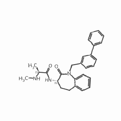 CN[C@@H](C)C(=O)N[C@H]1CCc2ccccc2N(Cc2cccc(-c3ccccc3)c2)C1=O